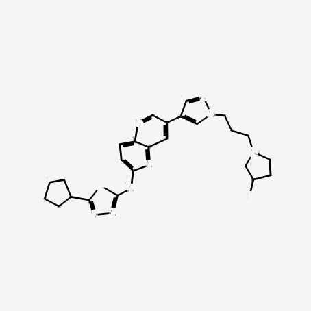 FC1CCN(CCCn2cc(-c3cnc4ccc(Nc5nnc(C6CCCC6)s5)nc4c3)cn2)C1